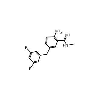 CNC(=N)c1cc(Cc2cc(F)cc(F)c2)ccc1N